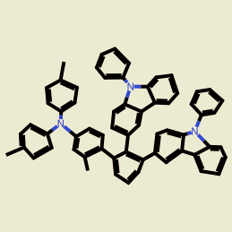 Cc1ccc(N(c2ccc(C)cc2)c2ccc(-c3cccc(-c4ccc5c(c4)c4ccccc4n5-c4ccccc4)c3-c3ccc4c(c3)c3ccccc3n4-c3ccccc3)c(C)c2)cc1